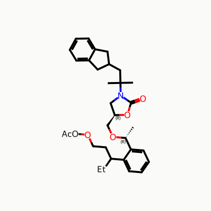 CCC(CCOOC(C)=O)c1ccccc1[C@@H](C)OC[C@H]1CN(C(C)(C)CC2Cc3ccccc3C2)C(=O)O1